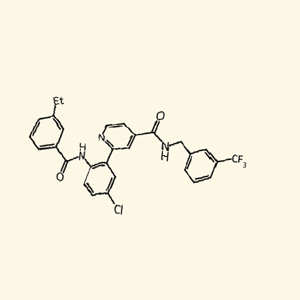 CCc1cccc(C(=O)Nc2ccc(Cl)cc2-c2cc(C(=O)NCc3cccc(C(F)(F)F)c3)ccn2)c1